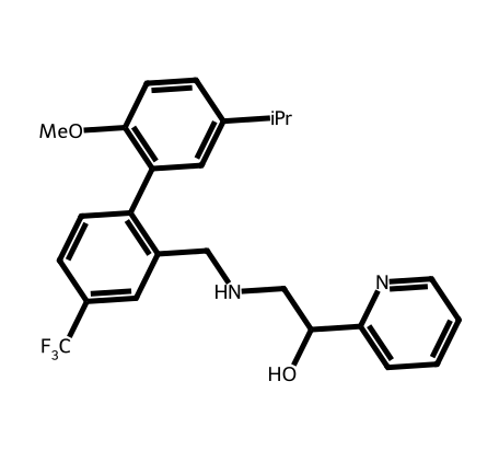 COc1ccc(C(C)C)cc1-c1ccc(C(F)(F)F)cc1CNCC(O)c1ccccn1